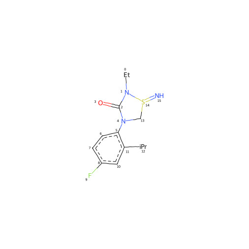 CCN1C(=O)N(c2ccc(F)cc2C(C)C)CS1=N